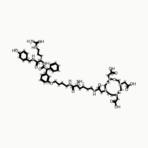 N=C(N)NCCC[C@@H](NC(=O)[C@@H](c1ccccc1)c1cccc(OCCCCNC(=O)[C@H](N)CCCCNC(=O)CN2CCN(CC(=O)O)CCN(CC(=O)O)CCN(CC(=O)O)CC2)c1)C(=O)NCc1ccc(O)cc1